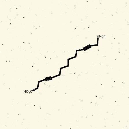 CCCCCCCCCCC#CCCCCCCC#CCCC(=O)O